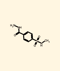 CNS(=O)(=O)c1ccc(C(=O)NN)cc1